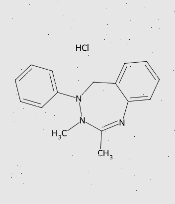 CC1=Nc2ccccc2CN(c2ccccc2)N1C.Cl